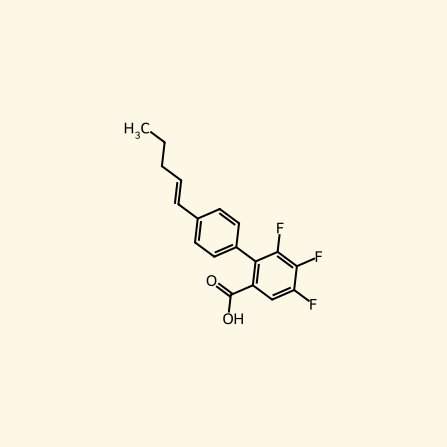 CCCC=Cc1ccc(-c2c(C(=O)O)cc(F)c(F)c2F)cc1